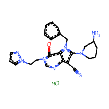 Cl.N#Cc1c(N2CCCC(N)C2)n(Cc2ccccc2)c2c(=O)n(CCn3cccn3)cnc12